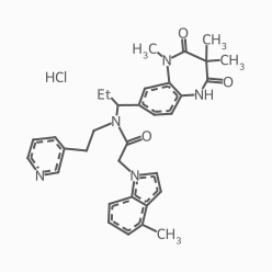 CCC(c1ccc2c(c1)N(C)C(=O)C(C)(C)C(=O)N2)N(CCc1cccnc1)C(=O)Cn1ccc2c(C)cccc21.Cl